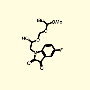 COC(OCOC(O)CN1C(=O)C(=O)c2cc(F)ccc21)C(C)(C)C